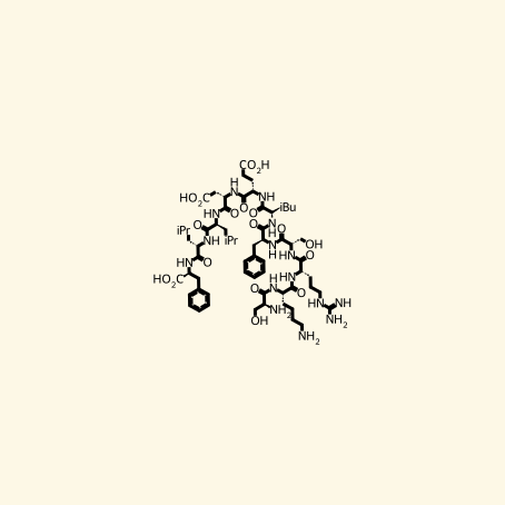 CC[C@H](C)[C@H](NC(=O)[C@H](Cc1ccccc1)NC(=O)[C@H](CO)NC(=O)[C@H](CCCNC(=N)N)NC(=O)[C@H](CCCCN)NC(=O)[C@@H](N)CO)C(=O)N[C@@H](CCC(=O)O)C(=O)N[C@@H](CC(=O)O)C(=O)N[C@@H](CC(C)C)C(=O)N[C@@H](CC(C)C)C(=O)N[C@@H](Cc1ccccc1)C(=O)O